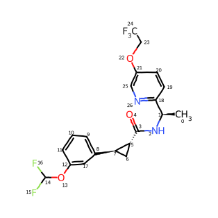 C[C@@H](NC(=O)[C@@H]1C[C@H]1c1cccc(OC(F)F)c1)c1ccc(OCC(F)(F)F)cn1